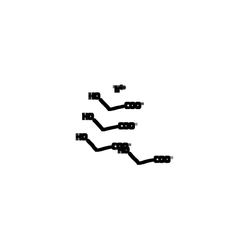 O=C([O-])CO.O=C([O-])CO.O=C([O-])CO.O=C([O-])CO.[Ti+4]